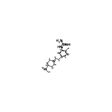 Cc1ncc(CCN2CCC(N(C)C)CC2)cc1NC(=N)N